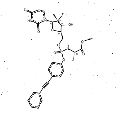 CC(C)OC(=O)[C@H](C)NP(=O)(OC[C@H]1O[C@@H](n2ccc(=O)[nH]c2=O)[C@](C)(F)[C@@H]1O)Oc1ccc(C#Cc2ccccc2)cc1